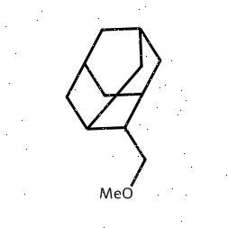 COC[C]1C2CC3CC(C2)CC1C3